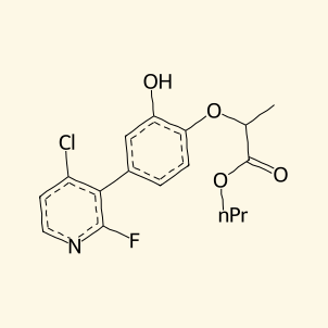 CCCOC(=O)C(C)Oc1ccc(-c2c(Cl)ccnc2F)cc1O